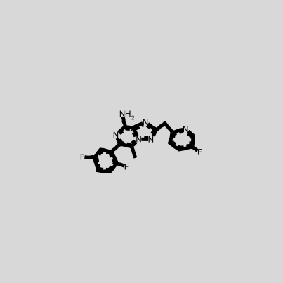 Cc1c(-c2cc(F)ccc2F)nc(N)c2nc(Cc3ccc(F)cn3)nn12